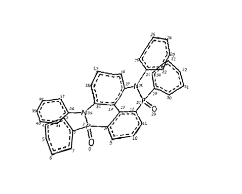 O=P1(c2ccccc2)c2cccc3c2-c2c(cccc2N(c2ccccc2)P3(=O)c2ccccc2)N1c1ccccc1